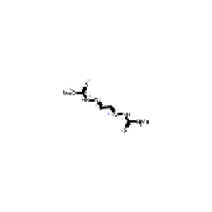 CNC(=S)N/N=C/C=N/NC(=S)OC